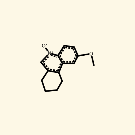 COc1ccc2c(c1)c1c(c[n+]2[O-])CCCC1